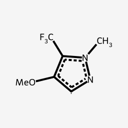 COc1[c]nn(C)c1C(F)(F)F